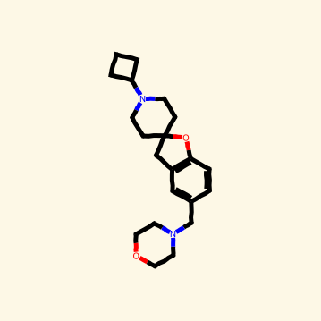 c1cc2c(cc1CN1CCOCC1)CC1(CCN(C3CCC3)CC1)O2